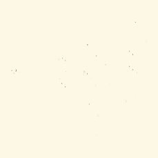 COCC(C)Nc1nccc(-c2c(-c3ccc(F)cc3F)nn3c2CSC3)n1